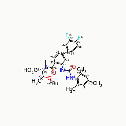 Cc1cc(C)c(NC(=O)Nc2cc(-c3ccc(F)c(F)c3)ccc2C(=O)N[C@@H](C(=O)O)C(C)OC(C)(C)C)c(C)c1